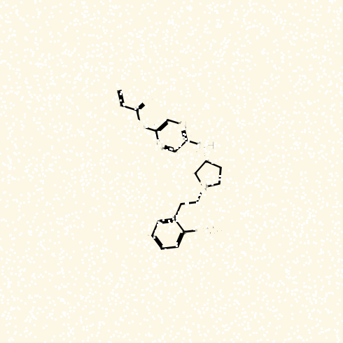 C=CC(=O)Oc1cnc(N[C@@H]2CCN(CCc3ccccc3OC)C2)cn1